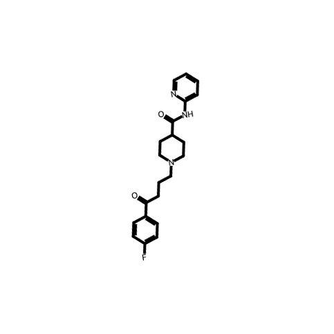 O=C(CCCN1CCC(C(=O)Nc2ccccn2)CC1)c1ccc(F)cc1